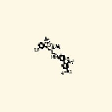 COC(=O)c1cc(C(=O)O)ccc1-c1cccc(NCCN(CC(O[Si](C)(C)C(C)(C)C)c2cccc(Cl)c2)C(=O)OC(C)(C)C)c1